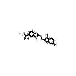 N=C(N)c1ccc2nc(CCc3nc4cc(Cl)ccc4[nH]3)[nH]c2c1